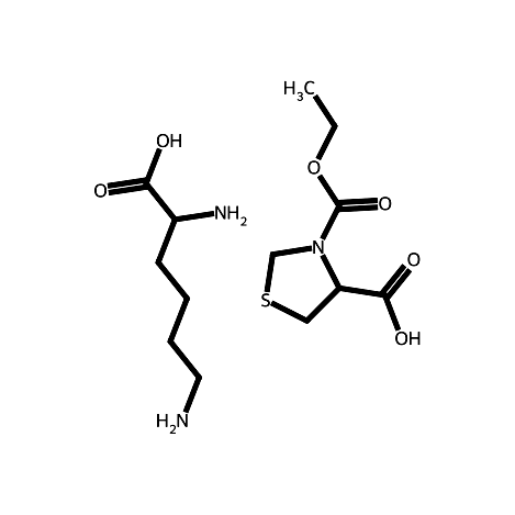 CCOC(=O)N1CSCC1C(=O)O.NCCCCC(N)C(=O)O